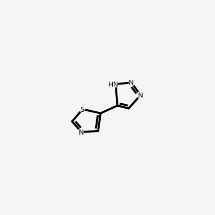 [c]1nn[nH]c1-c1cncs1